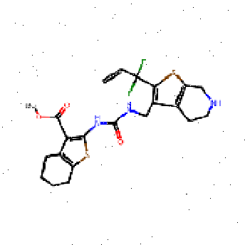 C=CC(F)(F)c1sc2c(c1CNC(=O)Nc1sc3c(c1C(=O)OC(C)(C)C)CCCC3)CCNC2